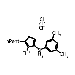 CCCCCC1=[C]([Ti+3])C([SiH2]c2cc(C)cc(C)c2)=CC1.[Cl-].[Cl-].[Cl-]